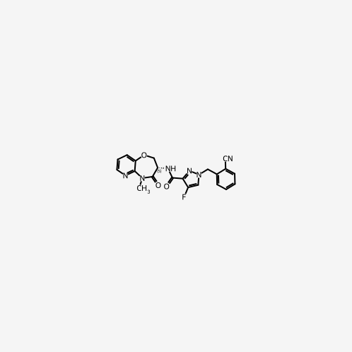 CN1C(=O)[C@@H](NC(=O)c2nn(Cc3ccccc3C#N)cc2F)COc2cccnc21